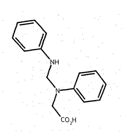 O=C(O)CN(CNc1ccccc1)c1ccccc1